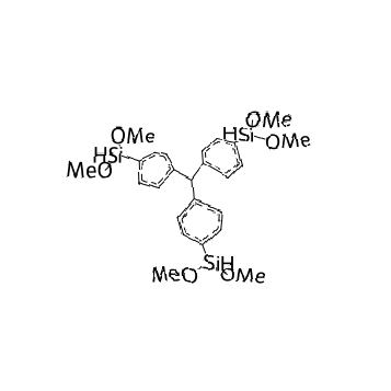 CO[SiH](OC)c1ccc(C(c2ccc([SiH](OC)OC)cc2)c2ccc([SiH](OC)OC)cc2)cc1